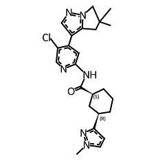 Cn1ccc([C@@H]2CCC[C@H](C(=O)Nc3cc(-c4cnn5c4CC(C)(C)C5)c(Cl)cn3)C2)n1